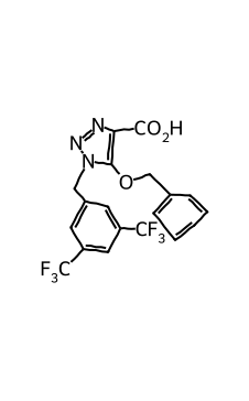 O=C(O)c1nnn(Cc2cc(C(F)(F)F)cc(C(F)(F)F)c2)c1OCc1ccccc1